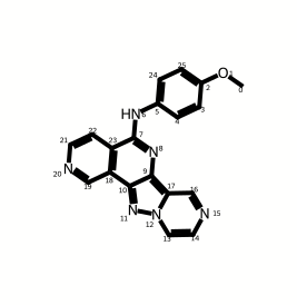 COc1ccc(Nc2nc3c(nn4ccncc34)c3cnccc23)cc1